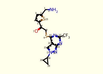 NCc1ccc(C(=O)CSc2nc(C(F)(F)F)nc3nn(C4CC4)cc23)s1